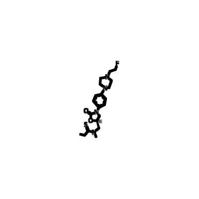 CCC(=S)N(C)C[C@@H]1CN(c2ccc(N3CCN(CCF)CC3)cc2)C(=O)O1